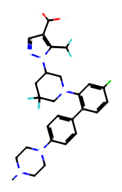 CCN1CCN(c2ccc(-c3ccc(Cl)cc3N3CC(n4ncc(C(O)O)c4C(F)F)CC(F)(F)C3)cc2)CC1